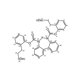 CCCCCCCCCCCCc1ccccc1OC(=O)N1CN(C(=O)Oc2ccccc2CCCCCCCCCCCC)c2ccccc2-c2ccccc21